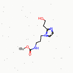 CC(C)(C)OC(=O)NCCCn1ccnc1CCO